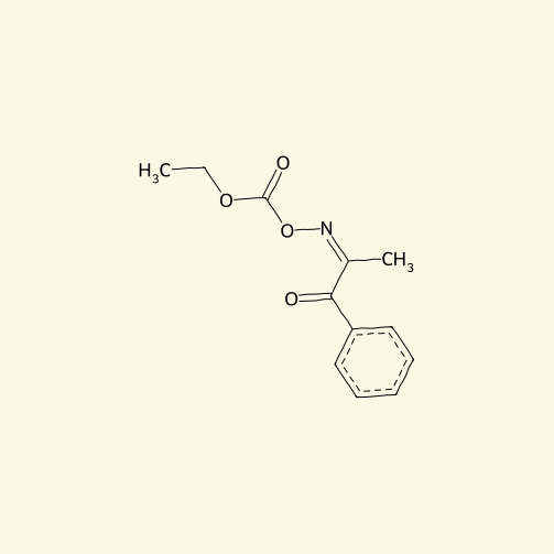 CCOC(=O)O/N=C(/C)C(=O)c1ccccc1